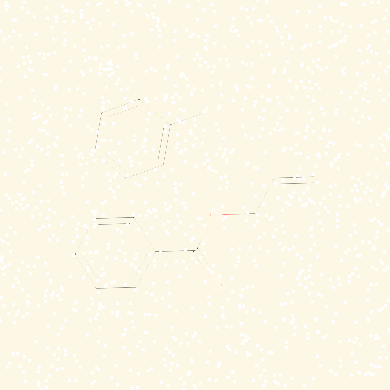 C=CCOC(=O)c1ccccc1.O=C(O)c1ccccc1